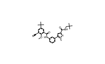 COc1c(C#N)cc(C(C)(C)C)cc1C(=O)Nc1cccc(-c2cc(C(=O)NCC(C)(C)C)nn2C)c1